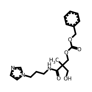 CC(CO)(COC(=O)OCc1ccccc1)C(=O)NCCCn1ccnc1